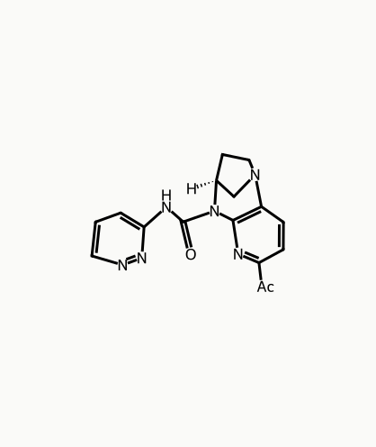 CC(=O)c1ccc2c(n1)N(C(=O)Nc1cccnn1)[C@H]1CCN2C1